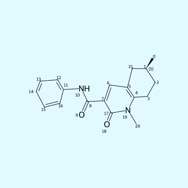 C[C@H]1CCc2c(cc(C(=O)Nc3ccccc3)c(=O)n2C)C1